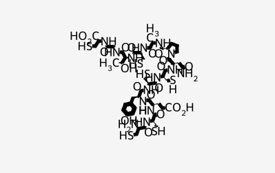 C[C@H](NC(=O)[C@@H]1CCCN1C(=O)[C@H](CC(N)=O)NC(=O)[C@H](CS)NC(=O)[C@H](CS)NC(=O)[C@H](Cc1ccc(O)cc1)NC(=O)[C@H](CCC(=O)O)NC(=O)[C@H](CS)NC(=O)[C@@H](N)CS)C(=O)N[C@@H](CS)C(=O)N[C@H](C(=O)NCC(=O)N[C@@H](CS)C(=O)O)[C@@H](C)O